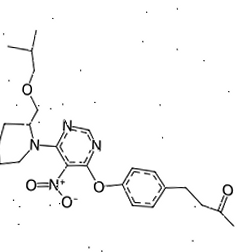 CC(=O)CCc1ccc(Oc2ncnc(N3CCCCC3COCC(C)C)c2[N+](=O)[O-])cc1